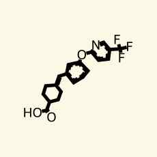 O=C(O)C1CCC(=Cc2cccc(Oc3ccc(C(F)(F)F)cn3)c2)CC1